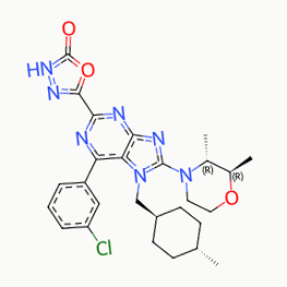 C[C@@H]1[C@@H](C)OCCN1c1nc2nc(-c3n[nH]c(=O)o3)nc(-c3cccc(Cl)c3)c2n1C[C@H]1CC[C@H](C)CC1